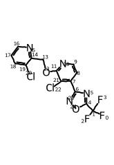 FC(F)(F)c1nc(-c2ccnc(OCc3ncccc3Cl)c2Cl)no1